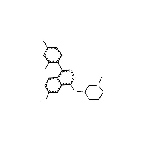 COc1ccc2c(-c3ccc(C)cc3O)nnc(NC3CCCN(C)C3)c2c1